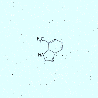 FC(F)(F)C1=CC=CC2S[C]NC12